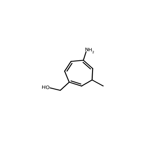 CC1C=C(N)C=CC(CO)=C1